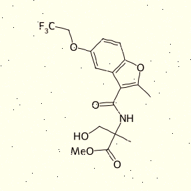 COC(=O)C(C)(CO)NC(=O)c1c(C)oc2ccc(OCC(F)(F)F)cc12